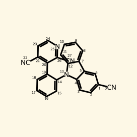 N#Cc1ccc2c(c1)c1ccccc1n2-c1ccccc1-c1c(C#N)ccnc1C#N